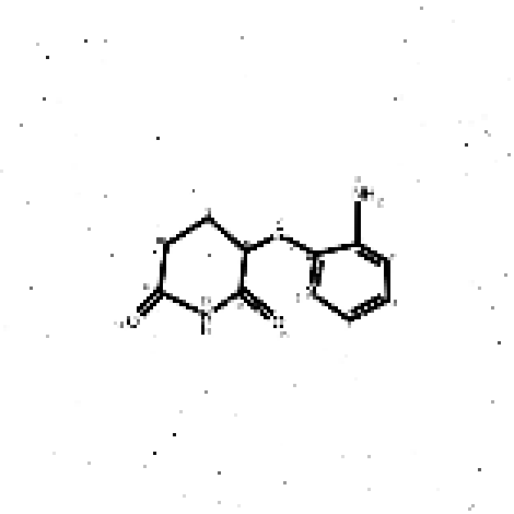 Nc1cccnc1SC1CCC(=O)NC1=O